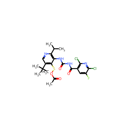 CC(=O)OSc1c(C(C)(C)C)cnc(C(C)C)c1NC(=O)NC(=O)c1cc(F)c(Cl)nc1Cl